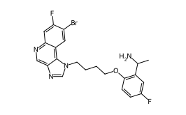 CC(N)c1cc(F)ccc1OCCCCn1cnc2cnc3cc(F)c(Br)cc3c21